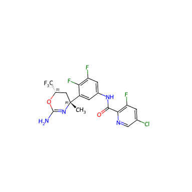 C[C@]1(c2cc(NC(=O)c3ncc(Cl)cc3F)cc(F)c2F)C[C@@H](C(F)(F)F)OC(N)=N1